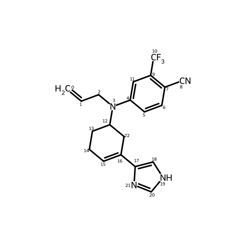 C=CCN(c1ccc(C#N)c(C(F)(F)F)c1)C1CCC=C(c2c[nH]cn2)C1